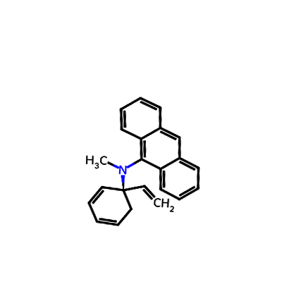 C=C[C@@]1(N(C)c2c3ccccc3cc3ccccc23)C=CC=CC1